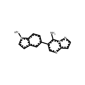 CCCn1ccc2cc(-c3cnc4ccnn4c3N)ccc21